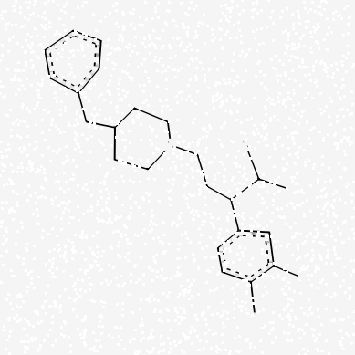 CC(N)C(CCN1CCC(Cc2ccccc2)CC1)c1ccc(Cl)c(Cl)c1.Cl